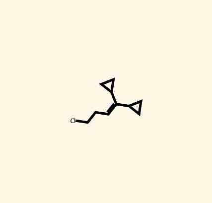 ClCCC=C(C1CC1)C1CC1